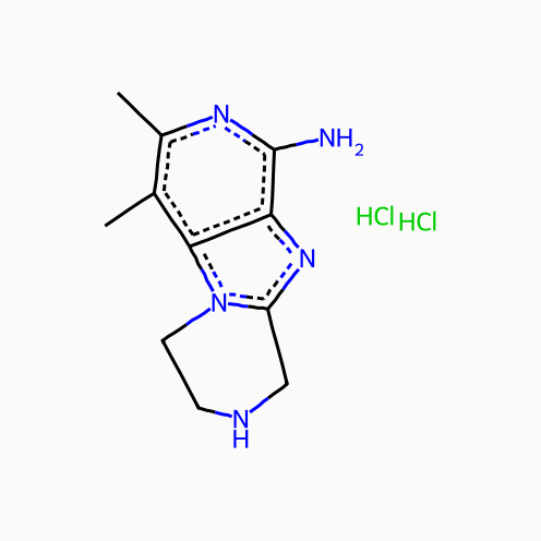 Cc1nc(N)c2nc3n(c2c1C)CCNC3.Cl.Cl